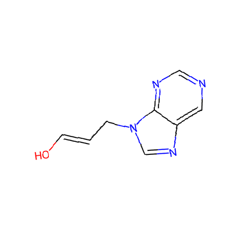 OC=CCn1cnc2cncnc21